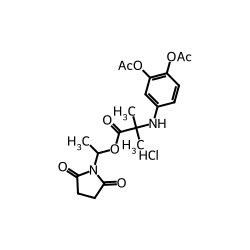 CC(=O)Oc1ccc(NC(C)(C)C(=O)OC(C)N2C(=O)CCC2=O)cc1OC(C)=O.Cl